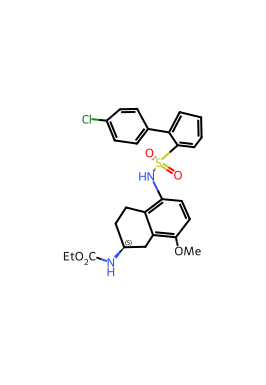 CCOC(=O)N[C@H]1CCc2c(NS(=O)(=O)c3ccccc3-c3ccc(Cl)cc3)ccc(OC)c2C1